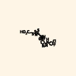 O=C(O)CCSc1nn(CCNS(=O)(=O)c2ccc3ncnc(Nc4ccc(F)c(Cl)c4)c3c2)c(=S)s1